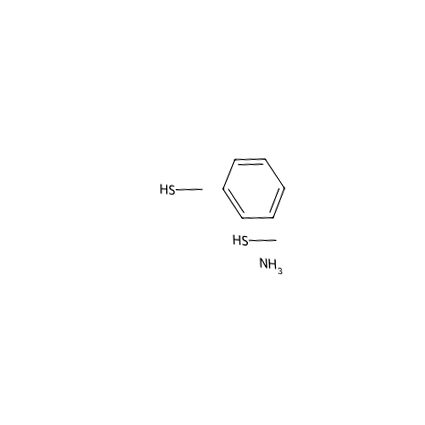 CS.CS.N.c1ccccc1